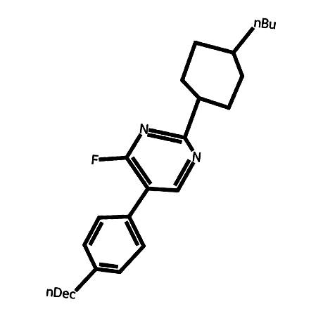 CCCCCCCCCCc1ccc(-c2cnc(C3CCC(CCCC)CC3)nc2F)cc1